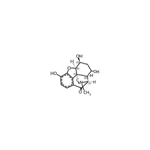 CN1CC[C@]23c4c5ccc(O)c4O[C@H]2[C@@H](O)CC(O)[C@H]3[C@H]1C5=O